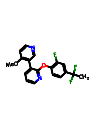 COc1ccncc1-c1cccnc1Oc1ccc(C(C)(F)F)cc1F